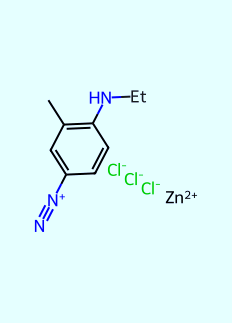 CCNc1ccc([N+]#N)cc1C.[Cl-].[Cl-].[Cl-].[Zn+2]